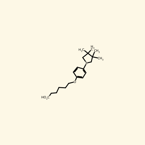 CC1(C)CB(c2ccc(OCCCCCC(=O)O)cc2)CC1(C)C